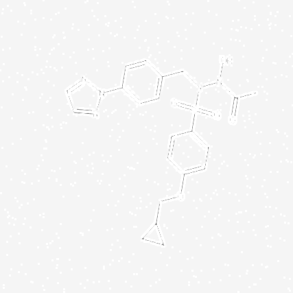 CC(=O)N(O)N(Cc1ccc(-n2nccn2)cc1)S(=O)(=O)c1ccc(OCC2CC2)cc1